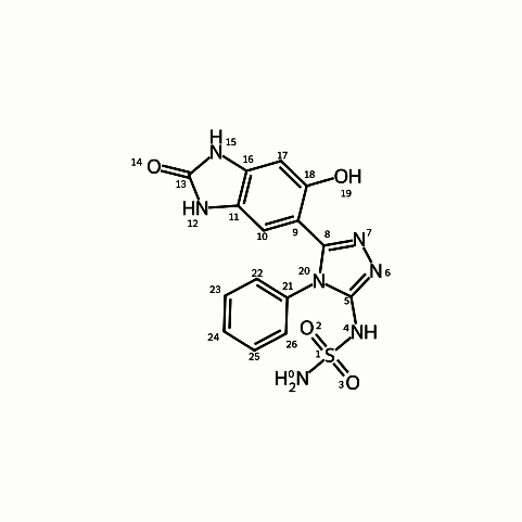 NS(=O)(=O)Nc1nnc(-c2cc3[nH]c(=O)[nH]c3cc2O)n1-c1ccccc1